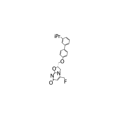 CC(C)c1cccc(-c2ccc(OC[C@@H]3Cn4c(CF)cc(=O)nc4O3)cc2)c1